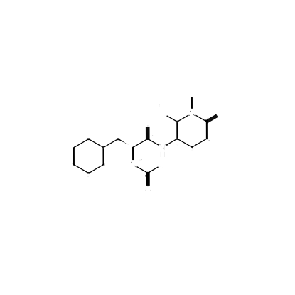 CN1C(=O)CCC(NC(=O)[C@H](CC2CCCCC2)NC(=O)O)C1O